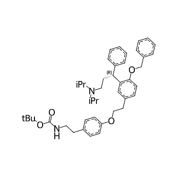 CC(C)N(CC[C@H](c1ccccc1)c1cc(CCOc2ccc(CCNC(=O)OC(C)(C)C)cc2)ccc1OCc1ccccc1)C(C)C